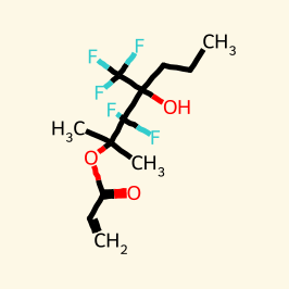 C=CC(=O)OC(C)(C)C(F)(F)C(O)(CCC)C(F)(F)F